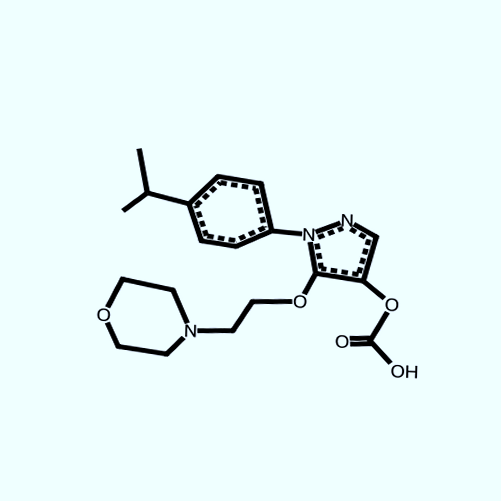 CC(C)c1ccc(-n2ncc(OC(=O)O)c2OCCN2CCOCC2)cc1